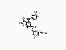 CCOC[C@@H](CNc1nc(Nc2cccc(C)c2)c2c(c1F)CNC2=O)NC(=O)OC(C)(C)C